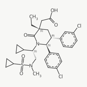 CC[C@@]1(CC(=O)O)C[C@H](c2cccc(Cl)c2)[C@@H](c2ccc(Cl)cc2)N([C@H](CN(C)S(=O)(=O)C2CC2)C2CC2)C1=O